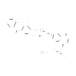 O=C1C=CC(=O)c2ccccc21.[N-]=[N+]=NS(=O)(=O)O.[N-]=[N+]=NS(=O)(=O)Oc1ccc(C(=O)c2ccccc2)c(O)c1O